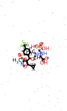 CNC.CS(=O)(=O)c1cc(C(F)(F)F)ccc1C(=O)c1cnoc1C1CC1.O=C(O)CNCP(=O)(O)O